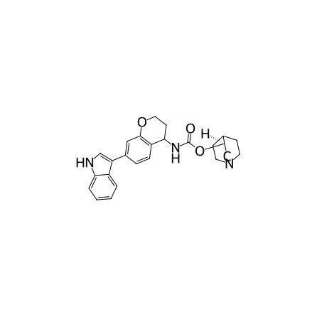 O=C(NC1CCOc2cc(-c3c[nH]c4ccccc34)ccc21)O[C@@H]1CN2CCC1CC2